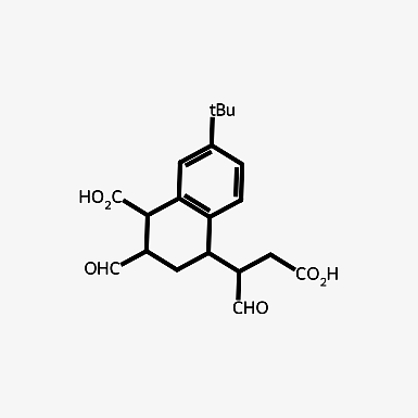 CC(C)(C)c1ccc2c(c1)C(C(=O)O)C(C=O)CC2C(C=O)CC(=O)O